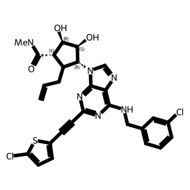 C=CCC1[C@@H](n2cnc3c(NCc4cccc(Cl)c4)nc(C#Cc4ccc(Cl)s4)nc32)[C@H](O)[C@H](O)[C@H]1C(=O)NC